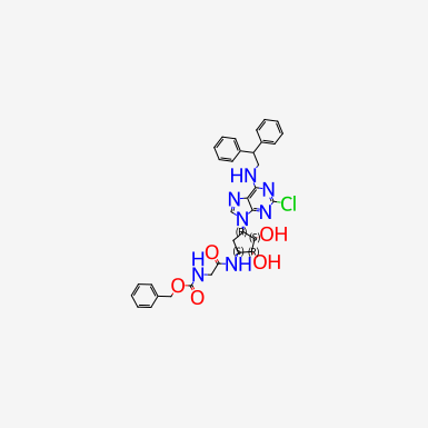 O=C(CNC(=O)OCc1ccccc1)N[C@H]1C[C@@H](n2cnc3c(NCC(c4ccccc4)c4ccccc4)nc(Cl)nc32)[C@H](O)[C@@H]1O